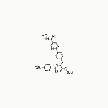 C=C(OC(C)(C)C)[C@H](Cc1ccc(-c2ncc(C(=N)NO)cn2)cc1)NC(=O)c1ccc(C(C)(C)C)cc1